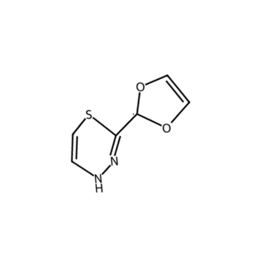 C1=CSC([C]2OC=CO2)=NN1